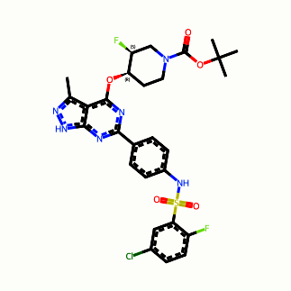 Cc1n[nH]c2nc(-c3ccc(NS(=O)(=O)c4cc(Cl)ccc4F)cc3)nc(O[C@@H]3CCN(C(=O)OC(C)(C)C)C[C@@H]3F)c12